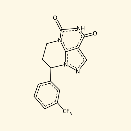 O=c1[nH]c(=O)n2c3c1cnn3C(c1cccc(C(F)(F)F)c1)CC2